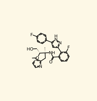 CO[C@H](CO)[C@](C)(Cc1nccs1)NC(=O)c1cccc(F)c1-c1cc(-c2ccc(F)cc2)[nH]n1